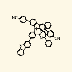 N#Cc1ccc(-c2ccc3c4ccc(-c5ccc(C#N)cc5)cc4n(-c4ccc(-c5ccc6c(c5)sc5ccccc56)cc4-c4nc(-c5ccccc5)nc(-c5ccccc5)n4)c3c2)cc1